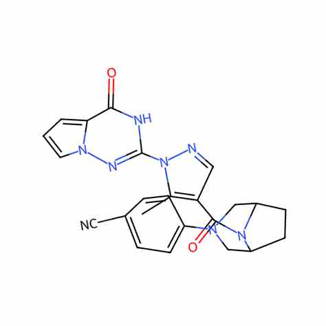 Cc1c(C(=O)N2C3CCC2CN(c2ccc(C#N)cc2)C3)cnn1-c1nn2cccc2c(=O)[nH]1